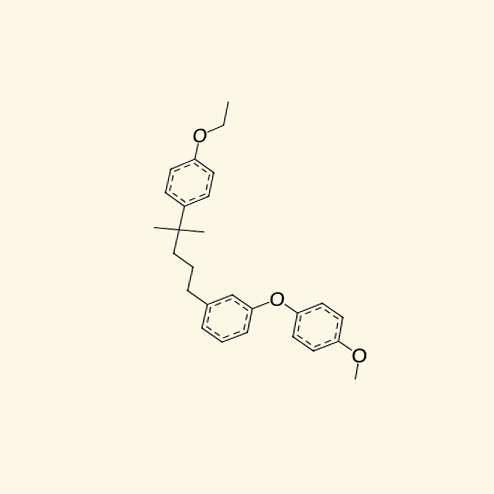 CCOc1ccc(C(C)(C)CCCc2cccc(Oc3ccc(OC)cc3)c2)cc1